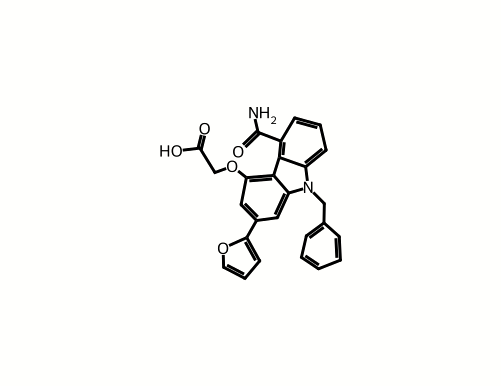 NC(=O)c1cccc2c1c1c(OCC(=O)O)cc(-c3ccco3)cc1n2Cc1ccccc1